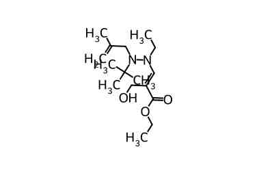 C=C(C)CN(N(/C=C(\CO)C(=O)OCC)CC)C(C)(C)C